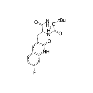 CC(C)(C)OC(=O)NC(Cc1cc2ccc(F)cc2[nH]c1=O)C(N)=O